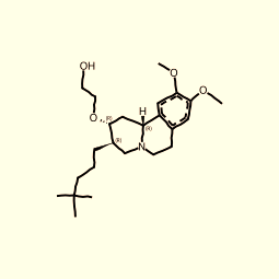 COc1cc2c(cc1OC)[C@H]1C[C@@H](OCCO)[C@H](CCCC(C)(C)C)CN1CC2